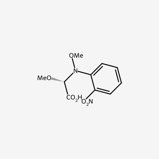 CO[C@@H](C(=O)O)N(OC)c1ccccc1[N+](=O)[O-]